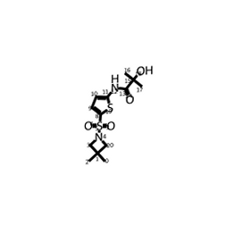 CC1(C)CN(S(=O)(=O)c2ccc(NC(=O)C(C)(C)O)s2)C1